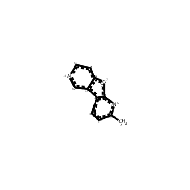 Cc1ccc2c(n1)oc1ccncc12